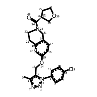 Cc1nnn(-c2ccc(Cl)cc2)c1COc1ccc2c(n1)CCN(C(=O)[C@H]1CCOC1)C2